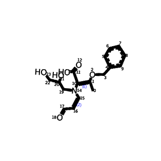 C/C(OCc1ccccc1)=C(/C(=O)O)N(/C=C\C=O)CC(O)CO